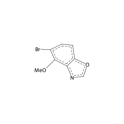 COc1c(Br)ccc2ocnc12